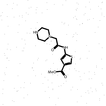 COC(=O)c1csc(NC(=O)CN2CCNCC2)c1